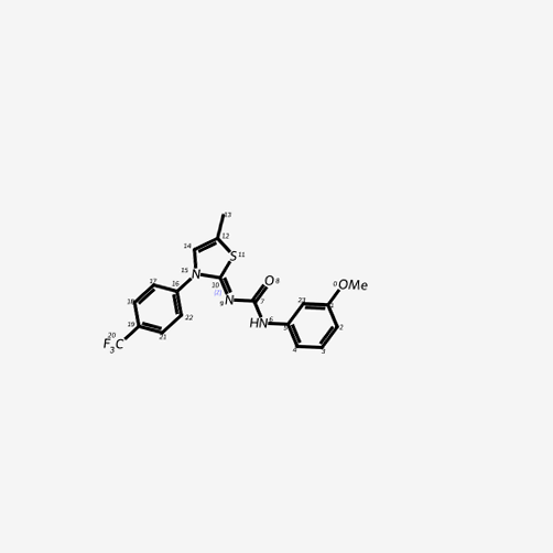 COc1cccc(NC(=O)/N=c2\sc(C)cn2-c2ccc(C(F)(F)F)cc2)c1